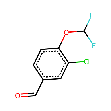 O=Cc1ccc(OC(F)F)c(Cl)c1